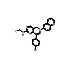 FC(F)(F)CNc1ncc2c(n1)C(c1ccc(Br)cc1)=CN(c1ccc3ncccc3c1)C2